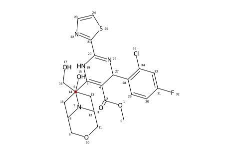 COC(=O)C1=C(CN2C3COCC2CC(O)(CO)C3)NC(c2nccs2)=NC1c1ccc(F)cc1Cl